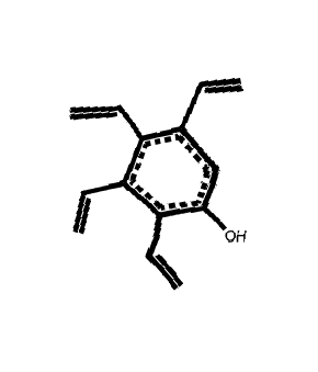 C=Cc1cc(O)c(C=C)c(C=C)c1C=C